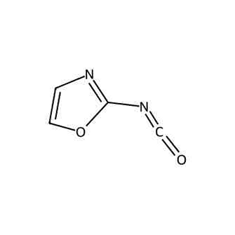 O=C=Nc1ncco1